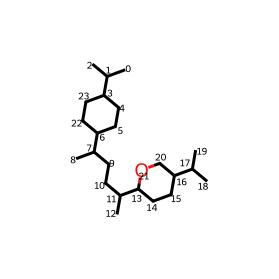 CC(C)C1CCC(C(C)CCC(C)C2CCC(C(C)C)CO2)CC1